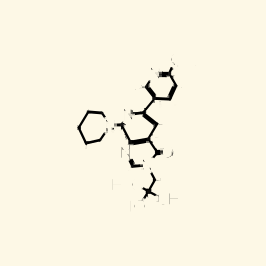 CC(C)(O)Cn1cnc2c(N3CCCCC3)nc(-c3ccc(C(F)(F)F)nc3)cc2c1=O